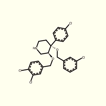 Clc1ccc([C@]2(OCc3cccc(Cl)c3)CCNC[C@@H]2OCc2ccc(Cl)c(Cl)c2)cc1